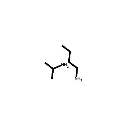 CC(C)N.CCCCN